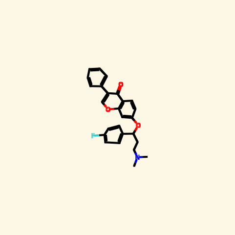 CN(C)CCC(Oc1ccc2c(=O)c(-c3ccccc3)coc2c1)c1ccc(F)cc1